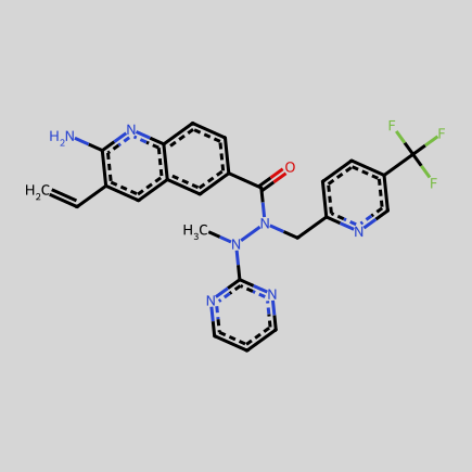 C=Cc1cc2cc(C(=O)N(Cc3ccc(C(F)(F)F)cn3)N(C)c3ncccn3)ccc2nc1N